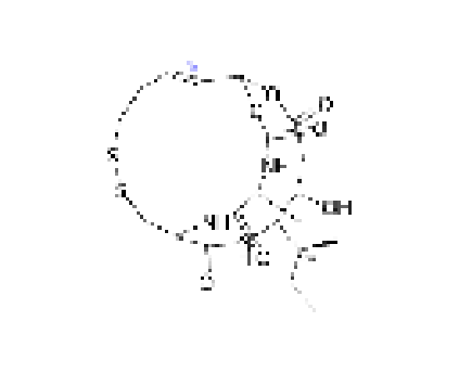 CC[C@H](C)C1NC(=O)C2CSSCC/C=C/C(CC(=O)NC(C)C(=O)N2)OC(=O)CC1O